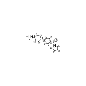 N[C@H]1CC[C@H](c2ccc(C(=O)N3CCCC3)cc2)CC1